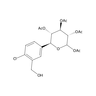 CC(=O)OC1O[C@@H](c2ccc(Cl)c(CO)c2)[C@H](OC(C)=O)[C@@H](OC(C)=O)[C@@H]1OC(C)=O